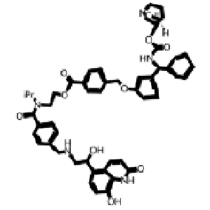 CC(C)N(CCOC(=O)c1ccc(COc2cccc(C(NC(=O)O[C@H]3CN4CCC3CC4)c3ccccc3)c2)cc1)C(=O)c1ccc(CNCC(O)c2ccc(O)c3[nH]c(=O)ccc23)cc1